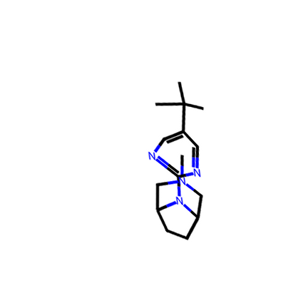 CN1CC2CCC(C1)N2c1ncc(C(C)(C)C)cn1